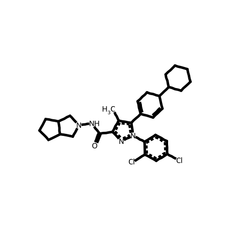 Cc1c(C(=O)NN2CC3CCCC3C2)nn(-c2ccc(Cl)cc2Cl)c1C1=CCC(C2CCCCC2)C=C1